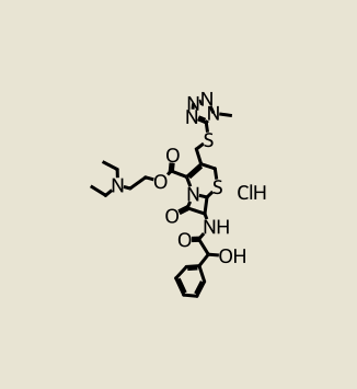 CCN(CC)CCOC(=O)C1=C(CSc2nnnn2C)CSC2C(NC(=O)C(O)c3ccccc3)C(=O)N12.Cl